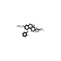 O=C(O)C1=C[C@@H](Cc2ccccc2)C2=C3CC[C@](O)(CCC(F)(F)F)C[C@H]3CCC2=C1